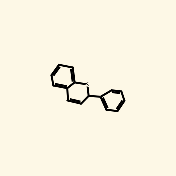 [C]1=CC(c2ccccc2)Sc2ccccc21